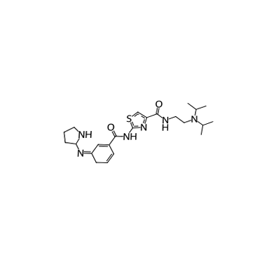 CC(C)N(CCNC(=O)c1csc(NC(=O)C2=CC(=NC3CCCN3)CC=C2)n1)C(C)C